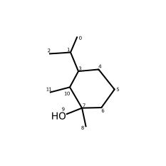 CC(C)C1CCCC(C)(O)C1C